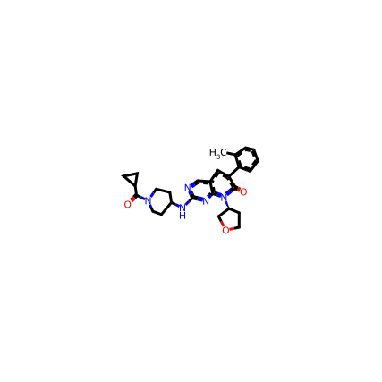 Cc1ccccc1-c1cc2cnc(NC3CCN(C(=O)C4CC4)CC3)nc2n([C@H]2CCOC2)c1=O